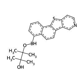 CC(C)(O)C(C)(C)OBc1cccc2c1ccc1c3cnccc3sc21